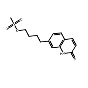 CS(=O)(=O)OCCCCc1ccc2ccc(=O)[nH]c2c1